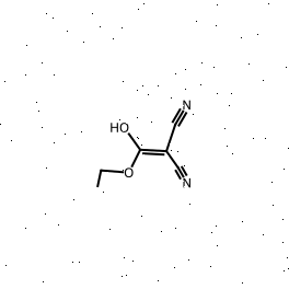 CCOC(O)=C(C#N)C#N